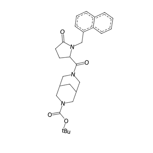 CC(C)(C)OC(=O)N1CC2CC(C1)CN(C(=O)C1CCC(=O)N1Cc1cccc3ccccc13)C2